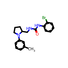 Cc1cccc(N2CCCC2CNC(=O)Nc2ccccc2Br)c1